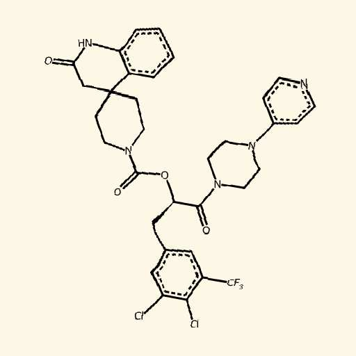 O=C1CC2(CCN(C(=O)O[C@H](Cc3cc(Cl)c(Cl)c(C(F)(F)F)c3)C(=O)N3CCN(c4ccncc4)CC3)CC2)c2ccccc2N1